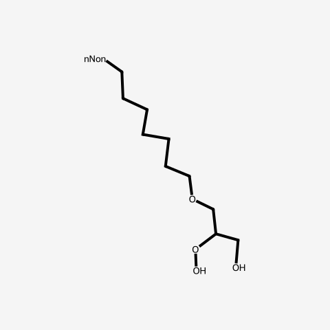 CCCCCCCCCCCCCCCCOCC(CO)OO